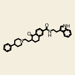 O=C(NCCc1c[nH]c2ccccc12)c1ccc2c(c1)CCC(CCN1CCC(c3ccccc3)CC1)C2=O